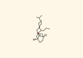 CCCC(CCC)CN1[C@@H]2CC[C@H]1CN(CCCCC(C)C)C2